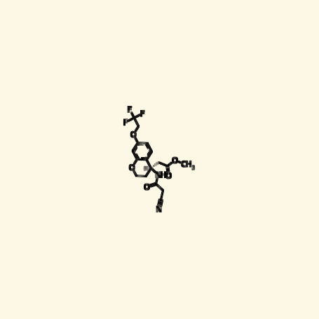 COC(=O)C[C@]1(NC(=O)CC#N)CCOc2cc(OCC(F)(F)F)ccc21